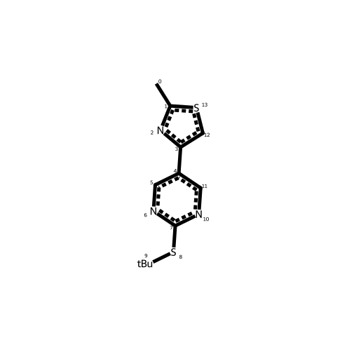 Cc1nc(-c2cnc(SC(C)(C)C)nc2)cs1